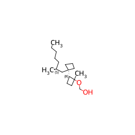 CCCCC[C@H](C)CC1([C@H]2CCC2(C)OCO)CCC1